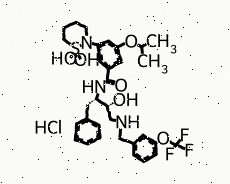 CC(C)Oc1cc(C(=O)N[C@@H](Cc2ccccc2)[C@H](O)CNCc2cccc(OC(F)(F)F)c2)cc(N2CCCCS2(O)O)c1.Cl